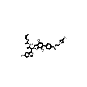 C=C(N/C(C)=N/C=C\C)C(c1ncn2c1C[C@@H](F)C2)n1cc2c(Cl)cc(-c3ccc(N(C)CCN4CC(CC)C4)cc3)c(Cl)c2n1